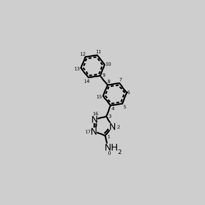 NC1=NC(c2cccc(-c3ccccc3)c2)N=N1